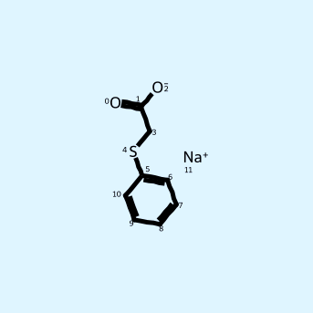 O=C([O-])CSc1ccccc1.[Na+]